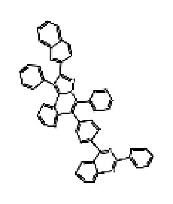 c1ccc(-c2nc(-c3ccc(-c4c(-c5ccccc5)n5nc(-c6ccc7ccccc7c6)c(-c6ccccc6)c5c5ccccc45)cc3)c3ccccc3n2)cc1